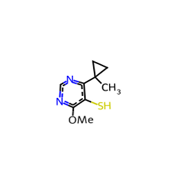 COc1ncnc(C2(C)CC2)c1S